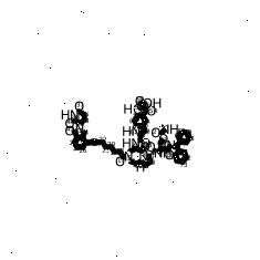 NC(=O)OC[C@H](NC(=O)[C@@H]1CC[C@@H]2CCN(C(=O)CCCCCC#Cc3cccc4c3CN(C3CCC(=O)NC3=O)C4=O)C[C@H](NC(=O)c3cc4cc(C(=O)P(=O)(O)O)ccc4[nH]3)C(=O)N21)C(=O)NC(c1ccccc1)c1ccccc1